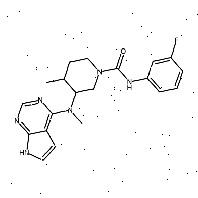 CC1CCN(C(=O)Nc2cccc(F)c2)CC1N(C)c1ncnc2[nH]ccc12